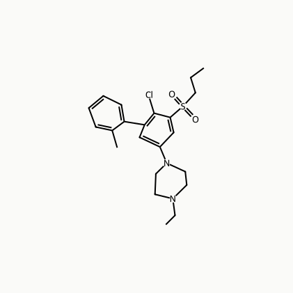 CCCS(=O)(=O)c1cc(N2CCN(CC)CC2)cc(-c2ccccc2C)c1Cl